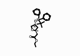 CCOC(=O)C[C@@H]1C[C@@H](O[Si](c2ccccc2)(c2ccccc2)C(C)(C)C)CO1